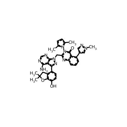 Cc1ccc(C)n1-n1c(Cn2nc(-c3ccc(O)c4c3CC(C)(C)O4)c3c(N)ncnc32)nc2cccc(-c3cnn(C)c3)c2c1=O